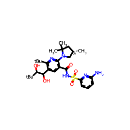 C[C@@H]1CN(c2nc(C(C)(C)C)c(C(O)C(O)C(C)(C)C)cc2C(=O)NS(=O)(=O)c2cccc(N)n2)C(C)(C)C1